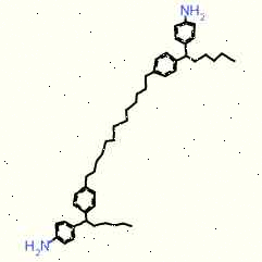 CCCCCC(c1ccc(N)cc1)c1ccc(CCCCCCCCCCCCCc2ccc(C(CCCCC)c3ccc(N)cc3)cc2)cc1